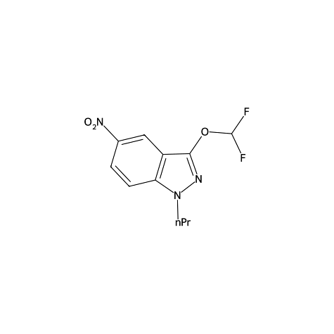 CCCn1nc(OC(F)F)c2cc([N+](=O)[O-])ccc21